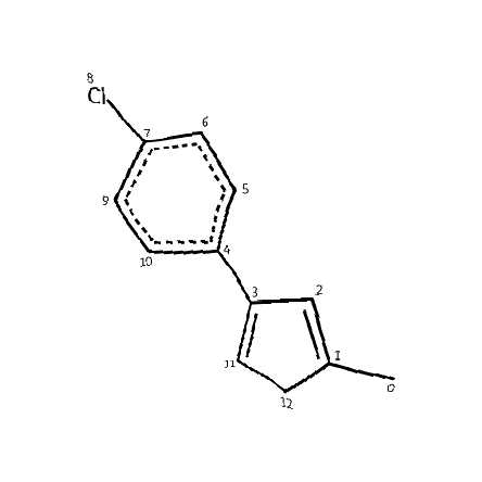 CC1=CC(c2ccc(Cl)cc2)=CC1